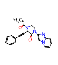 C=CC(=O)N1CCN(c2cn3ccccc3n2)C(=O)C1C#Cc1ccccc1